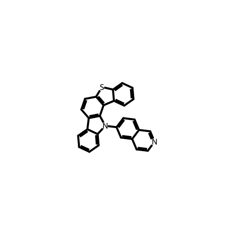 c1ccc2c(c1)sc1ccc3c4ccccc4n(-c4ccc5cnccc5c4)c3c12